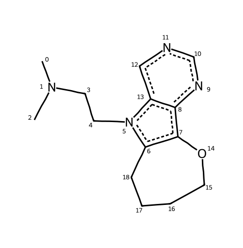 CN(C)CCn1c2c(c3ncncc31)OCCCC2